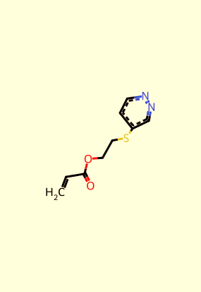 C=CC(=O)OCCSc1ccnnc1